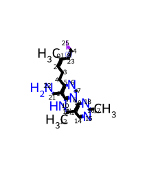 CC(=CCCc1ncnc(N[C@H](C)c2cnc(C)nc2)c1CN)/C=C\I